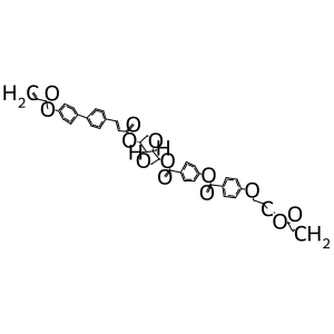 C=CC(=O)OCCCCOc1ccc(C(=O)Oc2ccc(C(=O)O[C@H]3CO[C@H]4[C@@H]3OC[C@H]4OC(=O)/C=C/c3ccc(-c4ccc(OC(=O)C=C)cc4)cc3)cc2)cc1